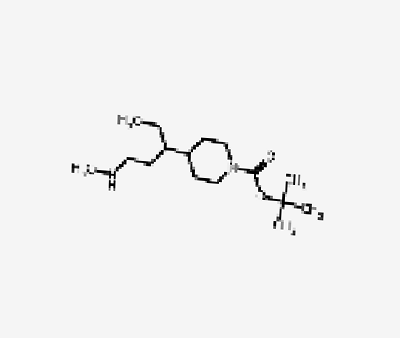 CCC(CCNC)C1CCN(C(=O)OC(C)(C)C)CC1